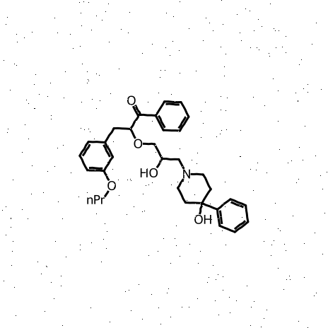 CCCOc1cccc(CC(OCC(O)CN2CCC(O)(c3ccccc3)CC2)C(=O)c2ccccc2)c1